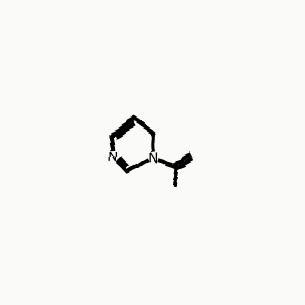 C=C(C)N1C=NC=CC1